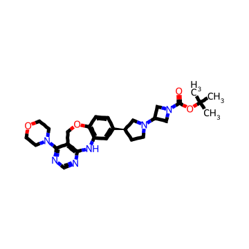 CC(C)(C)OC(=O)N1CC(N2CC[C@@H](c3ccc4c(c3)Nc3ncnc(N5CCOCC5)c3CO4)C2)C1